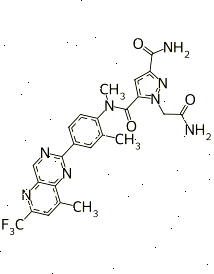 Cc1cc(-c2ncc3nc(C(F)(F)F)cc(C)c3n2)ccc1N(C)C(=O)c1cc(C(N)=O)nn1CC(N)=O